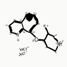 Cl.Cl.FC1CNCCC1Oc1cccc2cccnc12